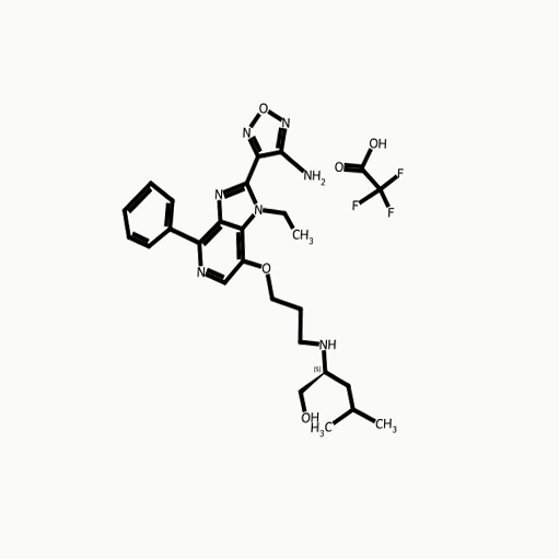 CCn1c(-c2nonc2N)nc2c(-c3ccccc3)ncc(OCCCN[C@H](CO)CC(C)C)c21.O=C(O)C(F)(F)F